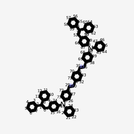 C(=C(c1ccccc1)c1ccccc1)c1ccc(N(c2ccccc2)c2ccc(/C=C/c3ccc(/C=C/c4ccc(N(c5ccccc5)c5ccc(C=C(c6ccccc6)c6ccccc6)cc5)cc4)cc3)cc2)cc1